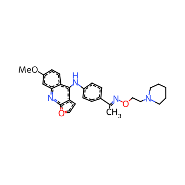 COc1ccc2c(Nc3ccc(/C(C)=N/OCCN4CCCCC4)cc3)c3ccoc3nc2c1